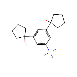 C[N+](C)(C)c1cc(C2(O)CCCC2)cc(C2(O)CCCC2)c1